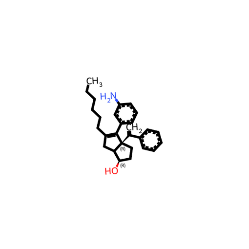 C=C(c1ccccc1)[C@@]12CC[C@@H](O)C1CC(CCCCCC)=C2c1cccc(N)c1